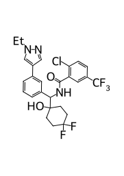 CCn1cc(-c2cccc(C(NC(=O)c3cc(C(F)(F)F)ccc3Cl)C3(O)CCC(F)(F)CC3)c2)cn1